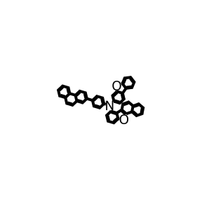 c1ccc2c(c1)ccc1cc(-c3ccc(N(c4ccc5c(c4)oc4ccccc45)c4cccc5oc6c7ccccc7ccc6c45)cc3)ccc12